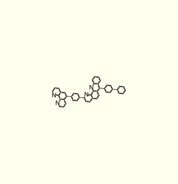 c1ccc(-c2ccc(-c3c4ccccc4nc4c3ccc3ccc(-c5ccc(-c6cc7cccnc7c7ncccc67)cc5)nc34)cc2)cc1